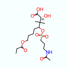 CCC(=O)OCCCCC(OS(=O)(=O)CCCNC(C)=O)C(C)(C)[C@@H](O)C(=O)O